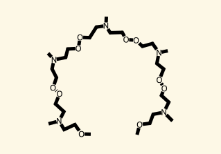 COCCN(C)CCOOCCN(C)CCOOCCN(C)CCOOCCN(C)CCOOCCN(C)CCOC